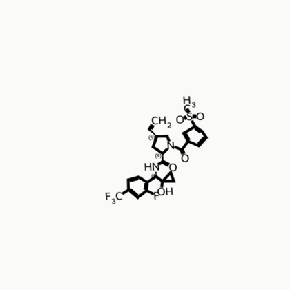 C=C[C@@H]1C[C@H](C(=O)N[C@@H](c2ccc(C(F)(F)F)cc2F)C2(O)CC2)N(C(=O)c2cccc(S(C)(=O)=O)c2)C1